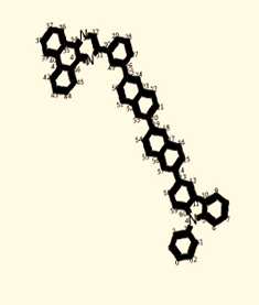 c1ccc(-n2c3ccccc3c3cc(-c4ccc5cc(-c6ccc7cc(-c8cccc(-c9cnc%10c%11ccccc%11c%11ccccc%11c%10n9)c8)ccc7c6)ccc5c4)ccc32)cc1